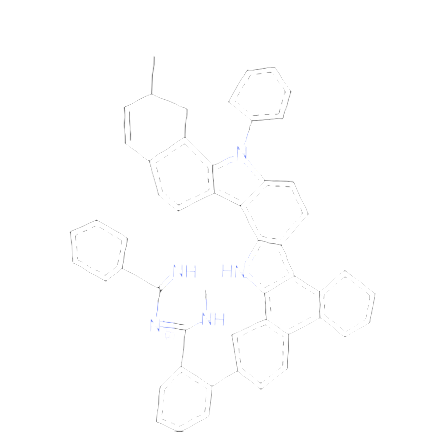 CN/C(=N\C(=N)c1ccccc1)c1ccccc1-c1ccc2c3ccccc3c3c4ccc5c(c6ccc7c(c6n5-c5ccccc5)CC(C)C=C7)c4[nH]c3c2c1